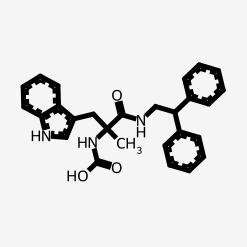 CC(Cc1c[nH]c2ccccc12)(NC(=O)O)C(=O)NCC(c1ccccc1)c1ccccc1